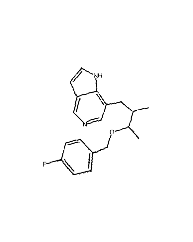 CC(Cc1cncc2cc[nH]c12)C(C)OCc1ccc(F)cc1